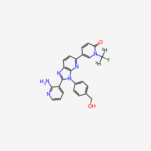 [2H]C([2H])(F)n1cc(-c2ccc3nc(-c4cccnc4N)n(-c4ccc(CO)cc4)c3n2)ccc1=O